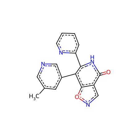 Cc1cncc(-c2c(-c3ccccn3)[nH]c(=O)c3cnoc23)c1